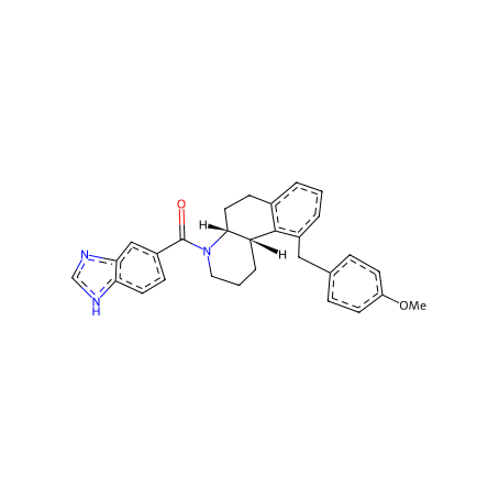 COc1ccc(Cc2cccc3c2[C@@H]2CCCN(C(=O)c4ccc5[nH]cnc5c4)[C@@H]2CC3)cc1